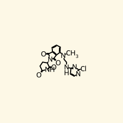 CN(CCNc1ccnc(Cl)n1)c1cccc2c1C(=O)N(C1CCC(=O)NC1=O)C2=O